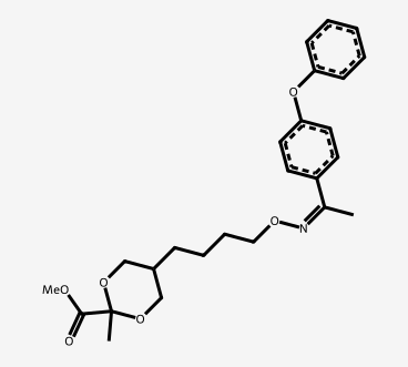 COC(=O)C1(C)OCC(CCCCON=C(C)c2ccc(Oc3ccccc3)cc2)CO1